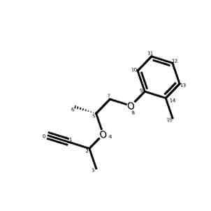 C#CC(C)O[C@H](C)COc1ccccc1C